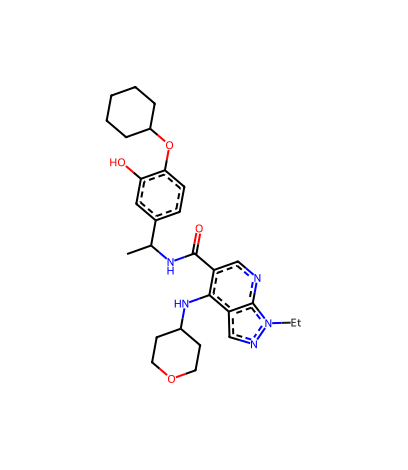 CCn1ncc2c(NC3CCOCC3)c(C(=O)NC(C)c3ccc(OC4CCCCC4)c(O)c3)cnc21